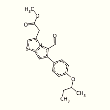 CCC(C)Oc1ccc(-c2cc3scc(CC(=O)OC)n3c2C=O)cc1